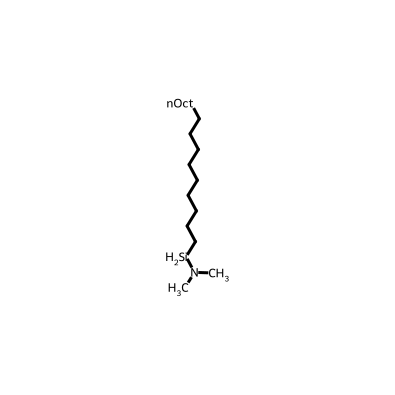 CCCCCCCCCCCCCCCCC[SiH2]N(C)C